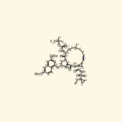 CC[C@@H]1C[C@@H](C)CC/C=C\C2C[C@@]2(C(=O)NS(=O)(=O)C2(CF)CC2)NC(=O)[C@@H]2C[C@@H](Oc3nc(OC)cc4cc(OC)ccc34)CN2C(=O)[C@H]1NC(=O)OC(C)(C)C(F)(F)F